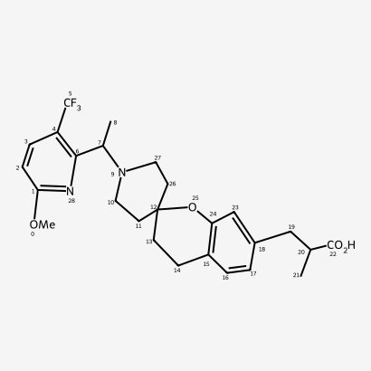 COc1ccc(C(F)(F)F)c(C(C)N2CCC3(CCc4ccc(CC(C)C(=O)O)cc4O3)CC2)n1